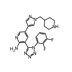 Nc1ncc(-c2cnn(CC3CCNCC3)c2)cc1-c1nnnn1-c1cccc(F)c1F